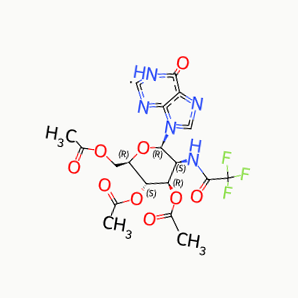 CC(=O)OC[C@H]1O[C@@H](n2cnc3c(=O)[nH][c]nc32)[C@@H](NC(=O)C(F)(F)F)[C@@H](OC(C)=O)[C@@H]1OC(C)=O